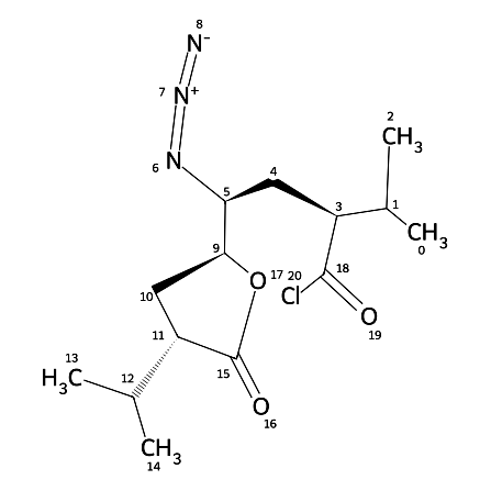 CC(C)[C@H](C[C@H](N=[N+]=[N-])[C@@H]1C[C@@H](C(C)C)C(=O)O1)C(=O)Cl